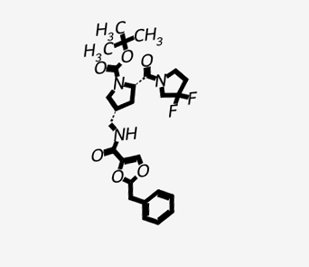 CC(C)(C)OC(=O)N1C[C@@H](CNC(=O)C2=COC(Cc3ccccc3)O2)C[C@H]1C(=O)N1CCC(F)(F)C1